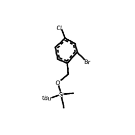 CC(C)(C)[Si](C)(C)OCc1ccc(Cl)cc1Br